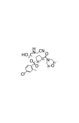 Cc1cc(Cl)ccc1S(=O)(=O)[C@@H]1CC[C@@H](C(=O)N2C[C@@H](C)O[C@@H](C)C2)C1.N#CCNC(=O)O